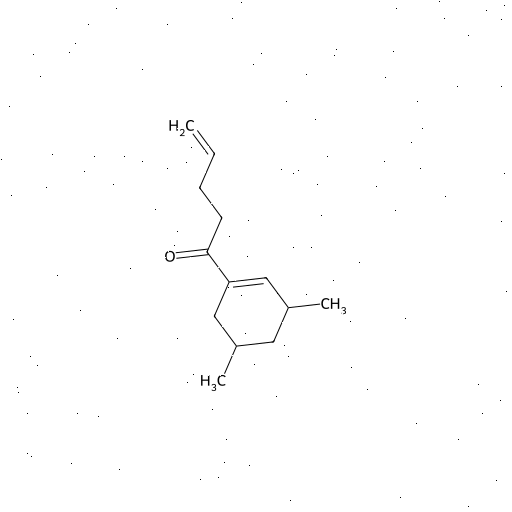 C=CCCC(=O)C1=CC(C)CC(C)C1